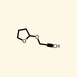 C#CCO[C]1CCCO1